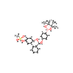 CC1(C)OB(c2ccc(OC(Oc3ccc(OS(C)(=O)=O)cc3)c3ccccc3)cc2)OC1(C)C